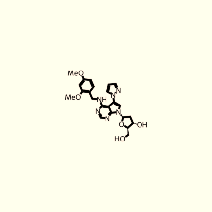 COc1ccc(CNc2ncnc3c2c(-n2cccn2)cn3[C@H]2C[C@H](O)[C@@H](CO)O2)c(OC)c1